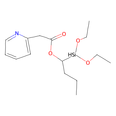 CCCC(OC(=O)Cc1ccccn1)[SiH](OCC)OCC